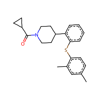 Cc1ccc(Sc2ccccc2C2CCN(C(=O)C3CC3)CC2)c(C)c1